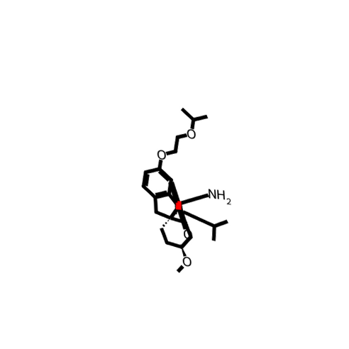 CO[C@H]1CC[C@]2(CC1)Cc1ccc(OCCOC(C)C)cc1C21N=C(N)N(C(C)C)C1=O